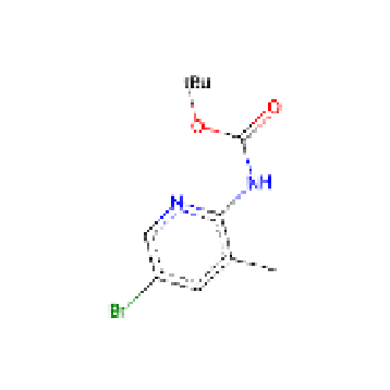 Cc1cc(Br)cnc1NC(=O)OC(C)(C)C